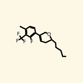 CCCCCC1CC=C(c2ccc(C)c(C(F)(F)F)c2F)CO1